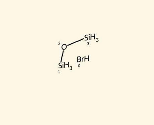 Br.[SiH3]O[SiH3]